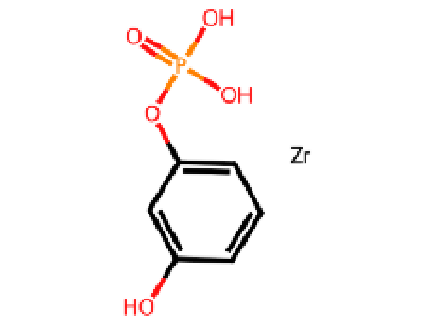 O=P(O)(O)Oc1cccc(O)c1.[Zr]